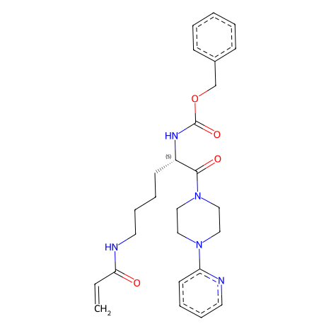 C=CC(=O)NCCCC[C@H](NC(=O)OCc1ccccc1)C(=O)N1CCN(c2ccccn2)CC1